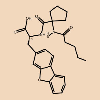 CCCCC(=O)N(S)C1(C(=O)N[C@@H](Cc2ccc3c(c2)oc2ccccc23)C(=O)O)CCCC1